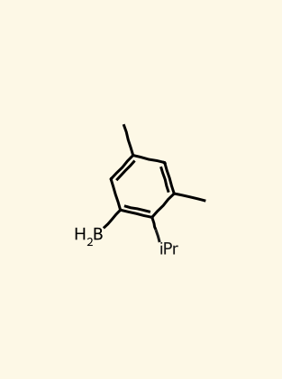 Bc1cc(C)cc(C)c1C(C)C